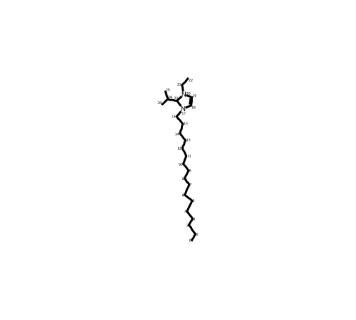 CCCCCCCCCCCCCCCCCN1C=CN(CC)C1C(C)C